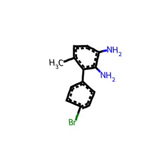 Cc1ccc(N)c(N)c1-c1ccc(Br)cc1